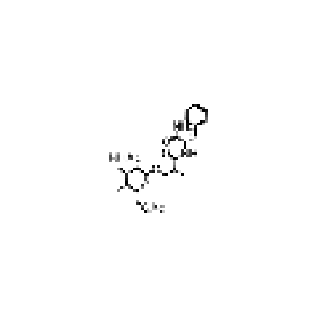 CC(=O)N[C@@H]1C(OC[C@H](C)C(=O)N[C@@H](Cc2ccccc2)C(N)=O)OC(COC(C)=O)[C@@H](C)C1C